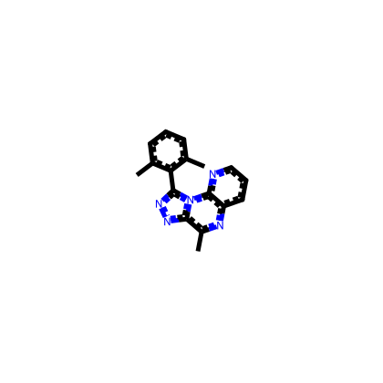 Cc1cccc(C)c1-c1nnc2c(C)nc3cccnc3n12